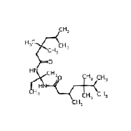 CCC(C)(NC(=O)CC(C)CC(C)(C)C(C)C)NC(=O)CC(C)(C)CC(C)C